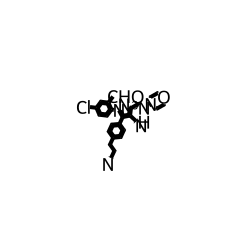 Cc1cc(Cl)ccc1-n1nc(C(=O)NN2CCOCC2)c(C#N)c1-c1ccc(CCC#N)cc1